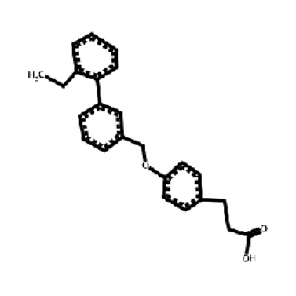 CCc1ccccc1-c1cccc(COc2ccc(CCC(=O)O)cc2)c1